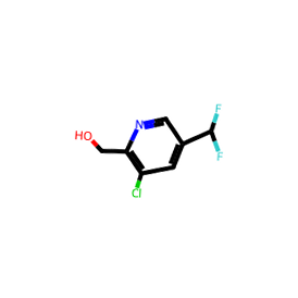 OCc1ncc(C(F)F)cc1Cl